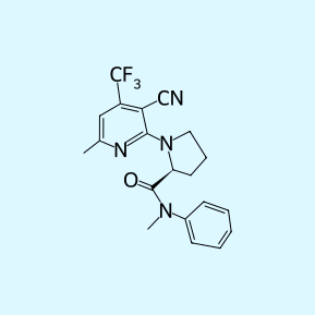 Cc1cc(C(F)(F)F)c(C#N)c(N2CCC[C@H]2C(=O)N(C)c2ccccc2)n1